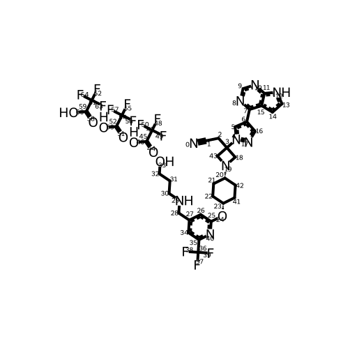 N#CCC1(n2cc(-c3ncnc4[nH]ccc34)cn2)CN([C@H]2CC[C@@H](Oc3cc(CNCCCO)cc(C(F)(F)F)n3)CC2)C1.O=C(O)C(F)(F)F.O=C(O)C(F)(F)F.O=C(O)C(F)(F)F